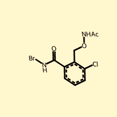 CC(=O)NOCc1c(Cl)cccc1C(=O)NBr